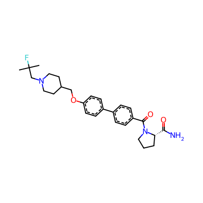 CC(C)(F)CN1CCC(COc2ccc(-c3ccc(C(=O)N4CCC[C@H]4C(N)=O)cc3)cc2)CC1